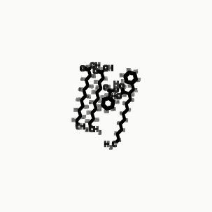 CCCCCCCCCCC(Cc1ccccc1)C(=O)O.CCCCCCCCCCCC(=O)O.CCCCCCCCCCCC(=O)O.O=C(O)c1ccccc1